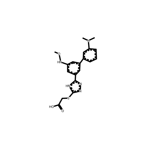 CONc1cc(-c2cccc(N(C)C)c2)cc(-c2nnc(SCC(=O)O)[nH]2)c1